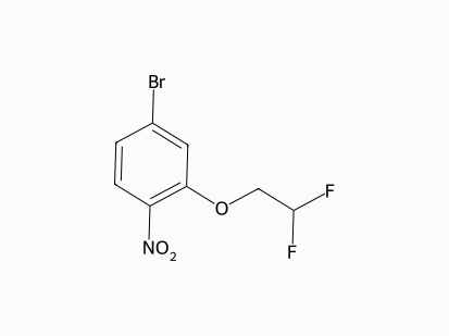 O=[N+]([O-])c1ccc(Br)cc1OCC(F)F